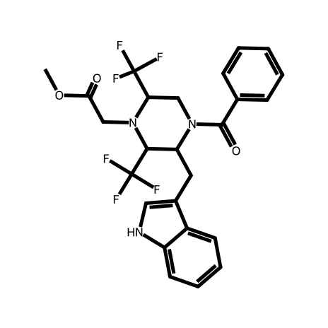 COC(=O)CN1C(C(F)(F)F)CN(C(=O)c2ccccc2)C(Cc2c[nH]c3ccccc23)C1C(F)(F)F